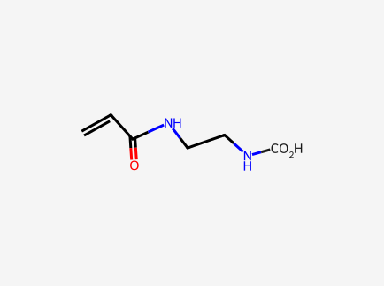 C=CC(=O)NCCNC(=O)O